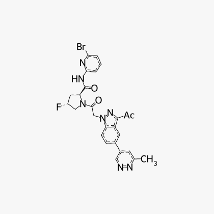 CC(=O)c1nn(CC(=O)N2C[C@H](F)C[C@H]2C(=O)Nc2cccc(Br)n2)c2ccc(-c3cnnc(C)c3)cc12